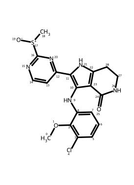 COc1c(Cl)cccc1Nc1c(-c2ccnc([S+](C)[O-])n2)[nH]c2c1C(=O)NCC2